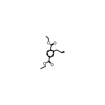 C=CCc1cc(C(=O)OCC)ccc1C(=O)OCC